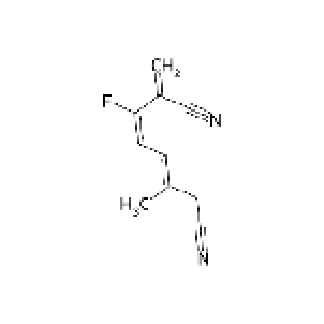 C=C(C#N)/C(F)=C\C=C(/C)CC#N